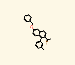 CC(=S)c1ccc2cc(OCc3ccccc3)ccc2c1-c1cccc(C)c1